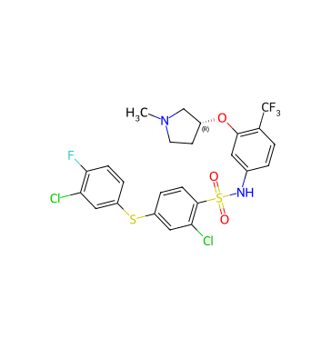 CN1CC[C@@H](Oc2cc(NS(=O)(=O)c3ccc(Sc4ccc(F)c(Cl)c4)cc3Cl)ccc2C(F)(F)F)C1